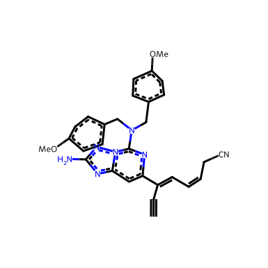 C#C/C(=C\C=C/CC#N)c1cc2nc(N)nn2c(N(Cc2ccc(OC)cc2)Cc2ccc(OC)cc2)n1